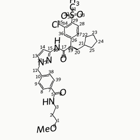 COCCCNC(=O)c1ccc(Cn2ccc(NC(=O)[C@H](CC3CCCC3)c3ccc(S(C)(=O)=O)c(Cl)c3)n2)cc1